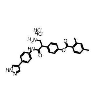 Cc1ccc(C(=O)Oc2ccc(C(CN)C(=O)Nc3ccc(-c4cn[nH]c4)cc3)cc2)c(C)c1.Cl.Cl